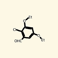 CCOc1cc(C=O)c(Cl)c(OCC)c1